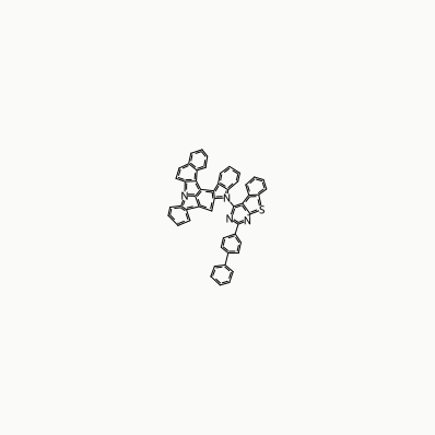 c1ccc(-c2ccc(-c3nc(-n4c5ccccc5c5c6c7c8ccccc8ccc7n7c8ccccc8c(cc54)c67)c4c(n3)sc3ccccc34)cc2)cc1